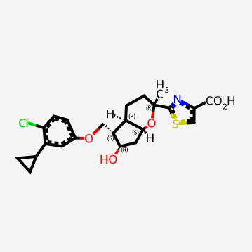 C[C@]1(c2nc(C(=O)O)cs2)CC[C@@H]2[C@@H](COc3ccc(Cl)c(C4CC4)c3)[C@H](O)C[C@@H]2O1